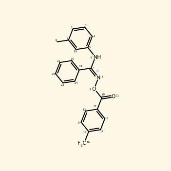 Cc1cccc(N/C(=N/OC(=O)c2ccc(C(F)(F)F)cc2)c2ccccc2)c1